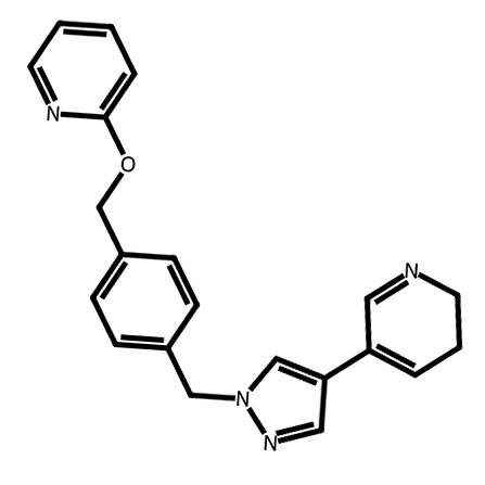 C1=NCCC=C1c1cnn(Cc2ccc(COc3ccccn3)cc2)c1